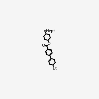 CCCCCCCC1CCC(OC(=O)c2ccc(C3=CCC(CC)CC3)cc2)CC1